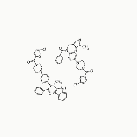 CC(c1nc2ccccc2[nH]1)N(C(=O)c1ccccc1)c1ccc(N2CCN(C(=O)c3ccc(Cl)s3)CC2)cc1.Cc1ncc(CN(C(=O)c2ccccc2)c2ccc(N3CCN(C(=O)c4ccc(Cl)s4)CC3)cc2)[nH]1